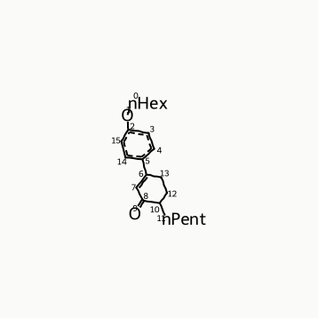 CCCCCCOc1ccc(C2=CC(=O)C(CCCCC)CC2)cc1